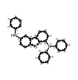 c1ccc(Nc2ccc3sc4c(N(c5ccccc5)c5ccccc5)cccc4c3c2)cc1